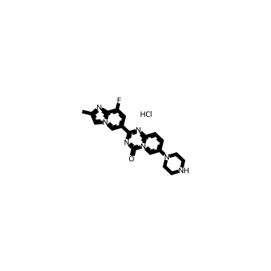 Cc1cn2cc(-c3nc(=O)n4cc(N5CCNCC5)ccc4n3)cc(F)c2n1.Cl